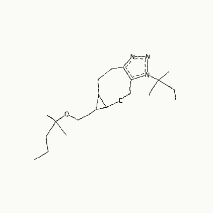 CCCC(C)(C)OCC1C2CCc3nnn(C(C)(C)CC)c3CCC21